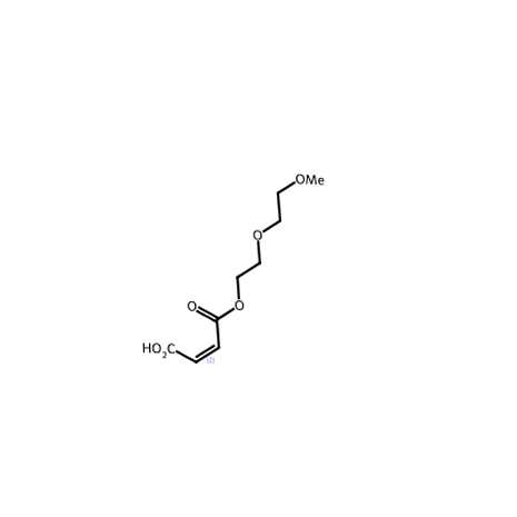 COCCOCCOC(=O)/C=C\C(=O)O